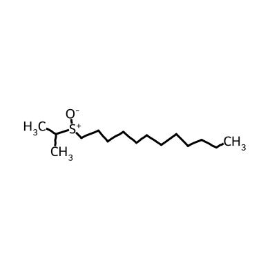 CCCCCCCCCCCC[S+]([O-])C(C)C